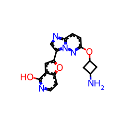 NC1CC(Oc2ccc3ncc(-c4cc5c(O)nccc5o4)n3n2)C1